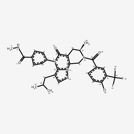 CNC(=O)c1ccc(-n2c(=O)c3c(n4ncc(CC(C)C)c24)CN(C(=O)c2ccc(Cl)c(C(F)(F)F)c2)[C@H](C)C3)cc1